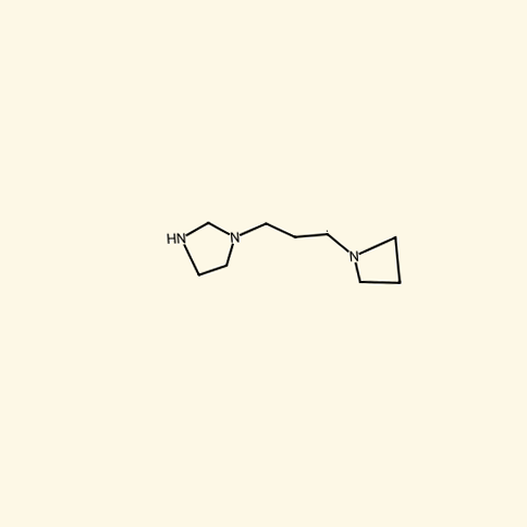 [CH](CCN1CCNC1)N1CCC1